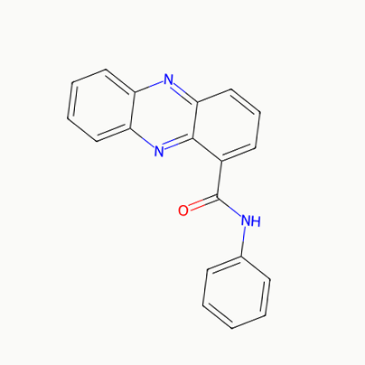 O=C(Nc1ccccc1)c1cccc2nc3ccccc3nc12